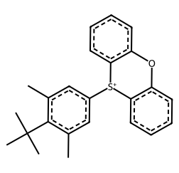 Cc1cc([S+]2c3ccccc3Oc3ccccc32)cc(C)c1C(C)(C)C